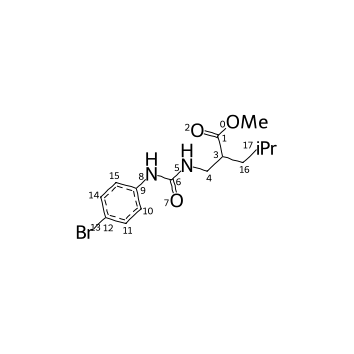 COC(=O)C(CNC(=O)Nc1ccc(Br)cc1)CC(C)C